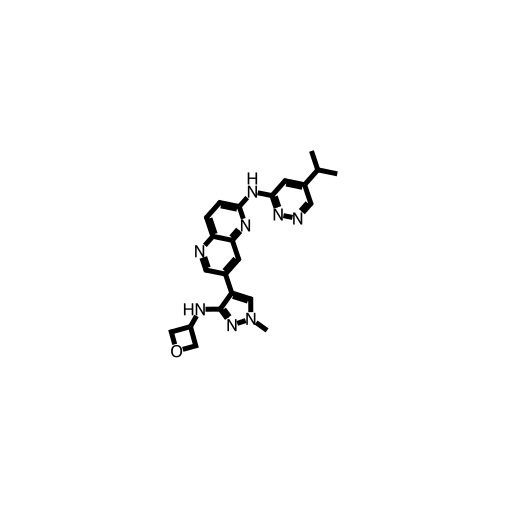 CC(C)c1cnnc(Nc2ccc3ncc(-c4cn(C)nc4NC4COC4)cc3n2)c1